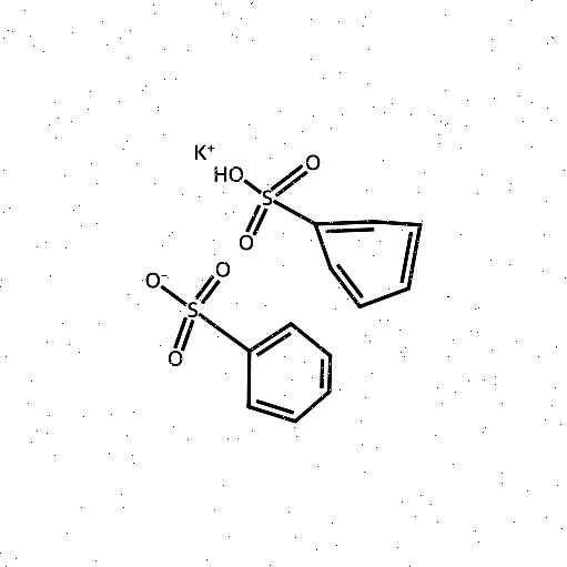 O=S(=O)(O)c1ccccc1.O=S(=O)([O-])c1ccccc1.[K+]